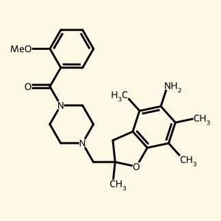 COc1ccccc1C(=O)N1CCN(CC2(C)Cc3c(C)c(N)c(C)c(C)c3O2)CC1